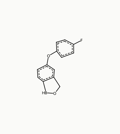 Fc1ccc(Oc2ccc3c(c2)COB3)cc1